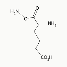 N.NOC(=O)CCCCC(=O)O